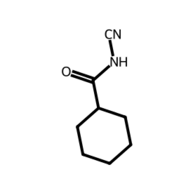 N#CNC(=O)C1CCCCC1